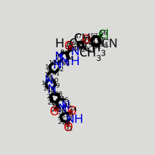 CC1(C)[C@H](NC(=O)c2cnc(N3CCC(CN4CCN(c5ccc6c(=O)n(C7CCC(=O)NC7=O)ncc6c5)CC4)CC3)nc2)C(C)(C)[C@H]1Oc1ccc(C#N)c(Cl)c1